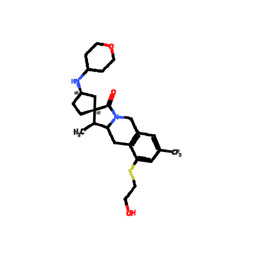 CC1C2Cc3c(cc(C(F)(F)F)cc3SCCO)CN2C(=O)[C@]12CC[C@@H](NC1CCOCC1)C2